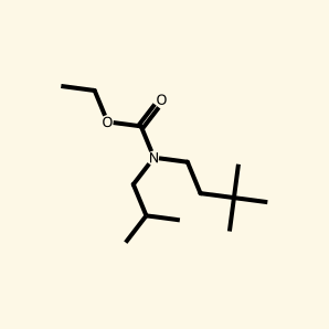 CCOC(=O)N(CCC(C)(C)C)CC(C)C